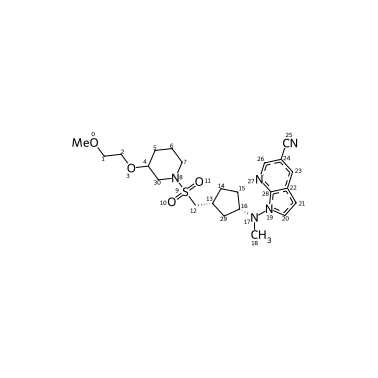 COCCOC1CCCN(S(=O)(=O)C[C@@H]2CC[C@H](N(C)n3ccc4cc(C#N)cnc43)C2)C1